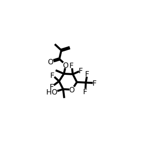 C=C(C)C(=O)OC1(C)C(F)(F)C(C(F)(F)F)OC(C)(O)C1(F)F